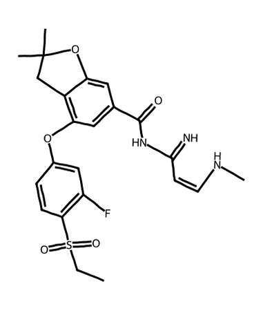 CCS(=O)(=O)c1ccc(Oc2cc(C(=O)NC(=N)/C=C\NC)cc3c2CC(C)(C)O3)cc1F